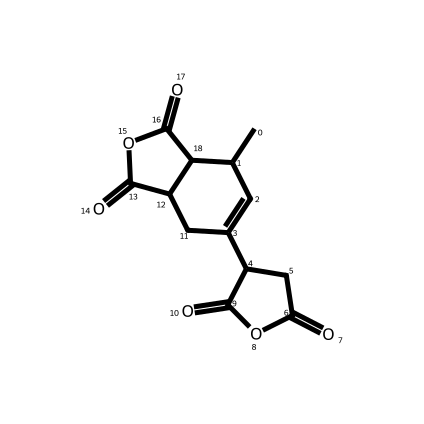 CC1C=C(C2CC(=O)OC2=O)CC2C(=O)OC(=O)C12